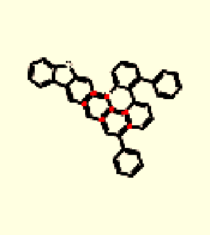 c1ccc(-c2ccc(N(c3ccc4c(c3)oc3ccccc34)c3cccc(-c4ccccc4)c3-c3ccccc3-c3ccccc3)cc2)cc1